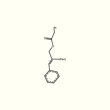 CCCCC/C(=C\c1ccccc1)COC(=O)CC(C)C